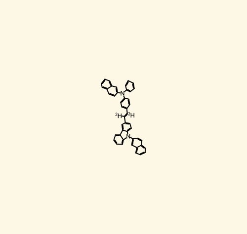 [2H]/C(=C(/[2H])c1ccc2c(c1)c1ccccc1n2-c1ccc2ccccc2c1)c1ccc(N(c2ccccc2)c2ccc3ccccc3c2)cc1